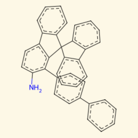 Nc1ccc2c(c1-c1ccc(-c3ccccc3)cc1)C1(c3ccccc3-c3ccccc31)c1ccccc1-2